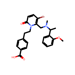 COc1ccccc1C(C)N(C)Cc1c(Br)ccc(=O)n1CCc1ccc(C(=O)O)cc1